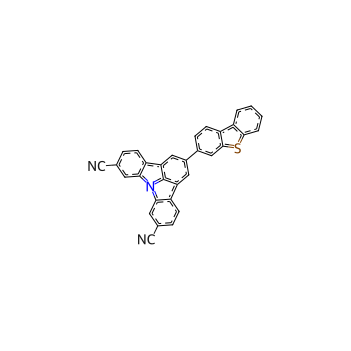 N#Cc1ccc2c3cc(-c4ccc5c(c4)sc4ccccc45)cc4c5ccc(C#N)cc5n(c2c1)c34